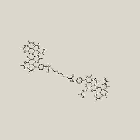 CC(=O)OC[C@H]1O[C@@H](Sc2ccc(NC(=O)CCCCCCCCC(=O)Nc3ccc(S[C@@H]4O[C@H](COC(C)=O)[C@@H](O[C@H]5O[C@H](COC(C)=O)[C@@H](OC(C)=O)[C@H](OC(C)=O)[C@H]5OC(C)=O)[C@H](OC(C)=O)[C@H]4OC(C)=O)cc3)cc2)[C@H](OC(C)=O)[C@@H](OC(C)=O)[C@@H]1O[C@H]1O[C@H](COC(C)=O)[C@@H](OC(C)=O)[C@H](OC(C)=O)[C@H]1OC(C)=O